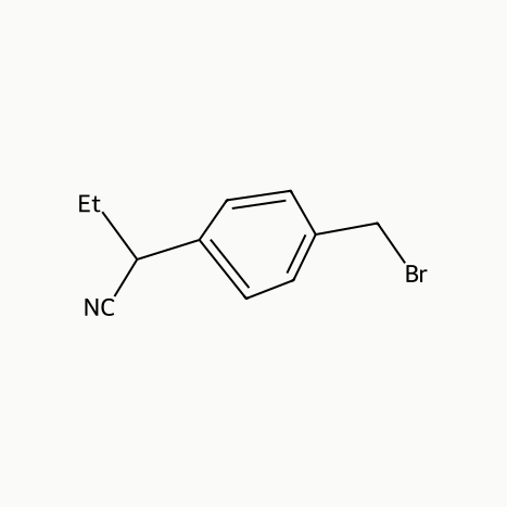 CCC(C#N)c1ccc(CBr)cc1